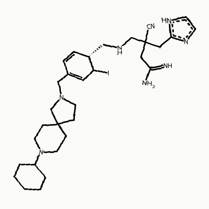 N#CC(CNC[C@H]1C=CC(CN2CCC3(CCN(C4CCCCC4)CC3)C2)=CC1I)(CC(=N)N)Cc1ncc[nH]1